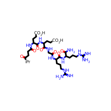 CC(C)C(=O)CCC(=O)NC(CCC(=O)O)C(=O)NC(CCC(=O)O)C(=O)NCC(=O)NC(CCCNC(=N)N)C(=O)NC(CCCNC(=N)N)C(N)=O